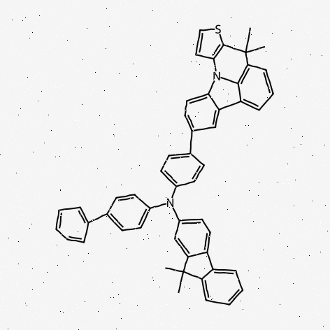 CC1(C)c2ccccc2-c2ccc(N(c3ccc(-c4ccccc4)cc3)c3ccc(-c4ccc5c(c4)c4cccc6c4n5-c4ccsc4C6(C)C)cc3)cc21